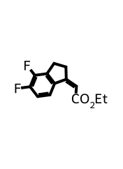 CCOC(=O)/C=C1/CCc2c1ccc(F)c2F